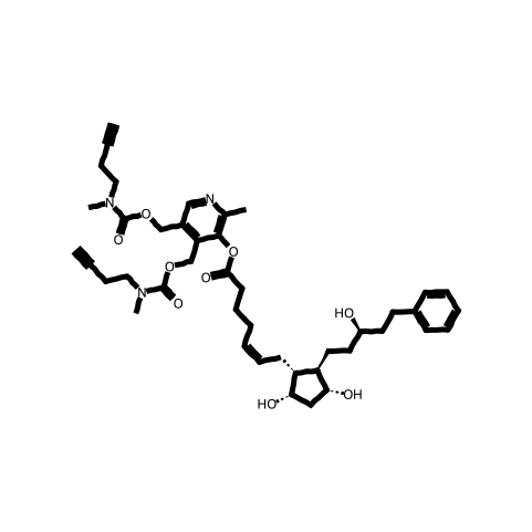 C#CCCN(C)C(=O)OCc1cnc(C)c(OC(=O)CCC/C=C\C[C@@H]2[C@@H](CC[C@@H](O)CCc3ccccc3)[C@H](O)C[C@@H]2O)c1COC(=O)N(C)CCC#C